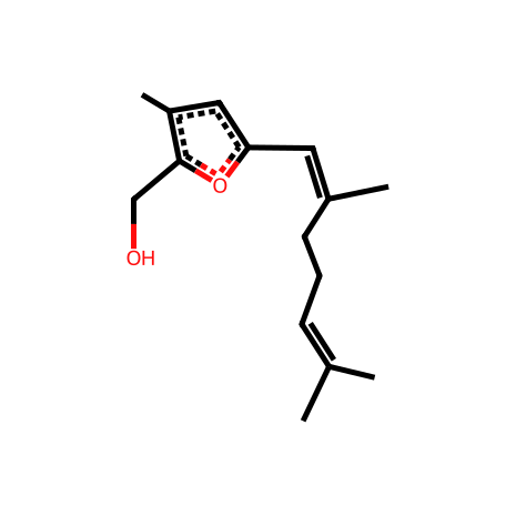 CC(C)=CCCC(C)=Cc1cc(C)c(CO)o1